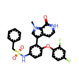 Cn1cc(-c2cc(NS(=O)(=O)Cc3ccccc3)ccc2Oc2ccc(F)cc2F)c2cc[nH]c(=O)c21